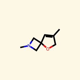 CC1=CC2(CN(C)C2)OC1